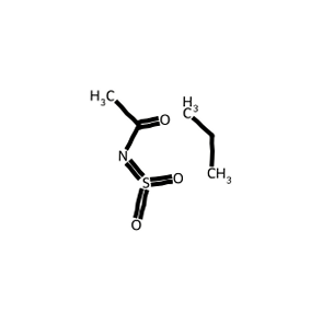 CC(=O)N=S(=O)=O.CCC